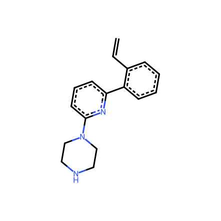 C=Cc1ccccc1-c1cccc(N2CCNCC2)n1